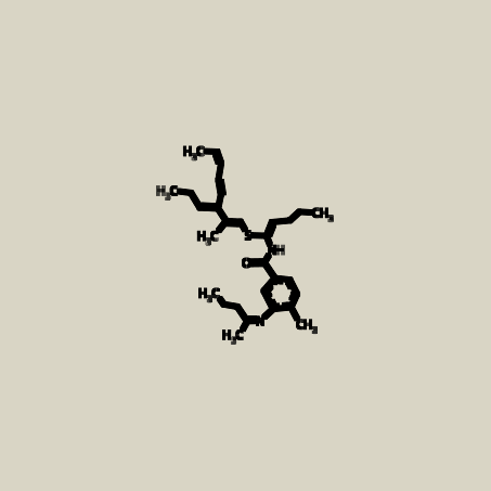 C\C=C/C=C/C(=C\CC)C(/C)=C/S/C(=C/CCC)NC(=O)c1ccc(C)c(/N=C(/C)CCC)c1